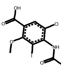 COc1c(C(=O)O)cc(Cl)c(NC(C)=O)c1I